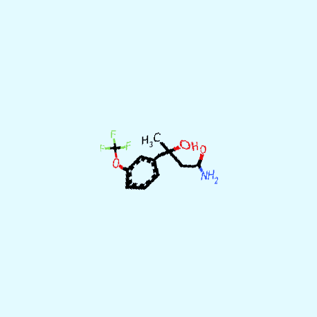 CC(O)(CC(N)=O)c1cccc(OC(F)(F)F)c1